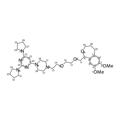 COc1cc2c(cc1OC)C(COCCOCCN1CCN(c3cc(N4CCCC4)nc(N4CCCC4)n3)CC1)OCCC2